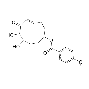 COc1ccc(C(=O)OC2CC/C=C/C(=O)C(O)C(O)CC2)cc1